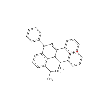 CC(C)c1cccc2c1N(C(C)c1ccccc1)C(c1ccccc1)=NN2c1ccccc1